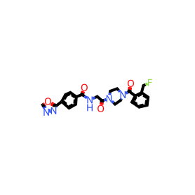 O=C(NCC(=O)N1CCN(C(=O)c2ccccc2CF)CC1)c1ccc(-c2nnco2)cc1